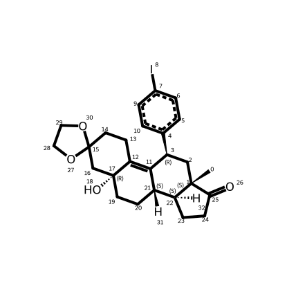 C[C@]12C[C@H](c3ccc(I)cc3)C3=C4CCC5(C[C@]4(O)CC[C@H]3[C@@H]1CCC2=O)OCCO5